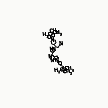 CC(C)(C)OC(=O)N1CCC(C(CC#N)n2cc(-c3ncnc4c3ccn4COCC[Si](C)(C)C)cn2)CC1